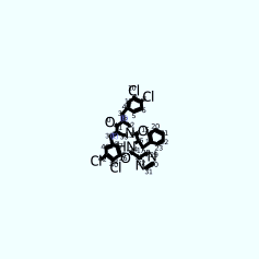 O=C1/C(=C/c2ccc(Cl)c(Cl)c2)CN(C(=O)C(Cc2ccccc2)NC(=O)c2cnccn2)C/C1=C\c1ccc(Cl)c(Cl)c1